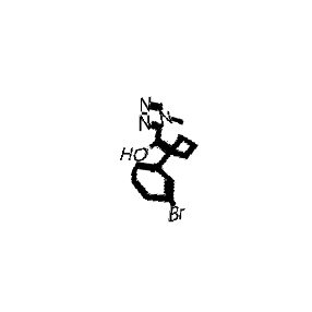 Cn1cnnc1C(O)C1(c2cccc(Br)c2)CCC1